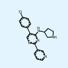 Clc1ccc(-c2cnc(-c3cccnc3)nc2NC2CCNC2)cc1